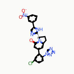 O=c1cc(-c2cc(Cl)ccc2-n2cnnn2)cc2n1[C@H](c1ncc(-c3cccc([N+](=O)[O-])c3)[nH]1)CC2